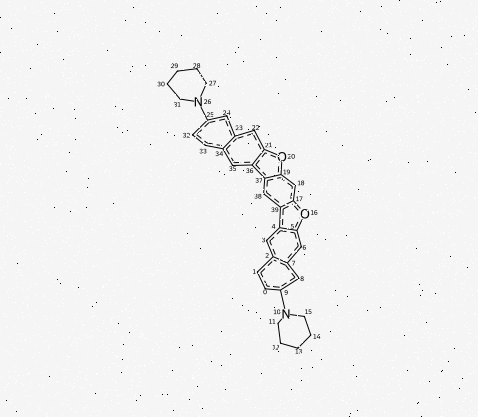 c1cc2cc3c(cc2cc1N1CCCCC1)oc1cc2oc4cc5cc(N6CCCCC6)ccc5cc4c2cc13